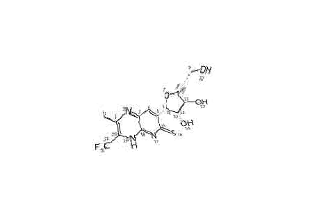 Cc1nc2cc([C@@H]3O[C@H](CO)C(O)[C@@H]3O)c(=S)nc-2[nH]c1C(F)(F)F